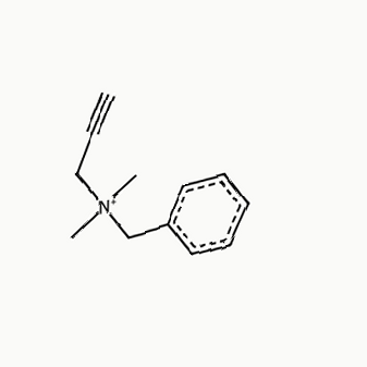 C#CC[N+](C)(C)Cc1ccccc1